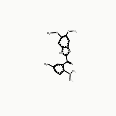 COc1cc2nc(C(=S)c3cc(C)ccc3N(C)C)[nH]c2cc1OC